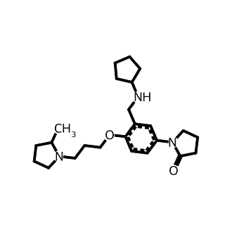 CC1CCCN1CCCOc1ccc(N2CCCC2=O)cc1CNC1CCCC1